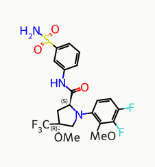 COc1c(N2C[C@@](OC)(C(F)(F)F)C[C@H]2C(=O)Nc2cccc(S(N)(=O)=O)c2)ccc(F)c1F